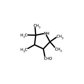 CC1C(C=O)C(C)(C)NC1(C)C